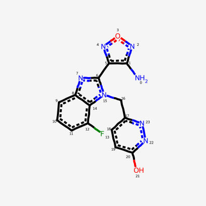 Nc1nonc1-c1nc2cccc(F)c2n1Cc1ccc(O)nn1